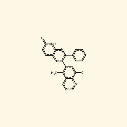 Cc1c(-c2nc3ccc(=O)[nH]c3nc2-c2ccccc2)cc(Cl)c2ncccc12